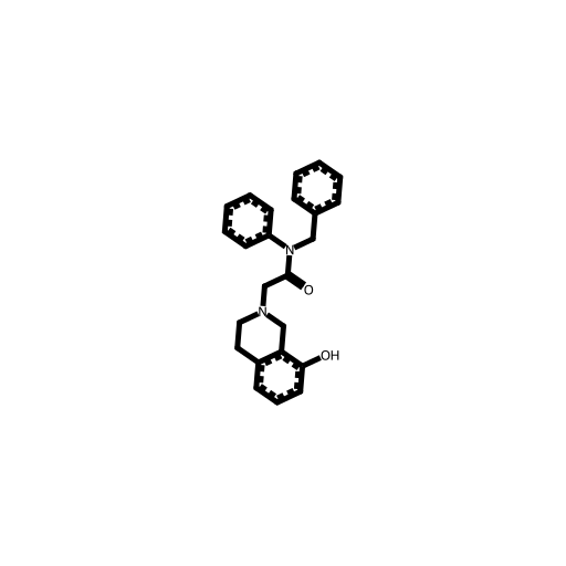 O=C(CN1CCc2cccc(O)c2C1)N(Cc1ccccc1)c1ccccc1